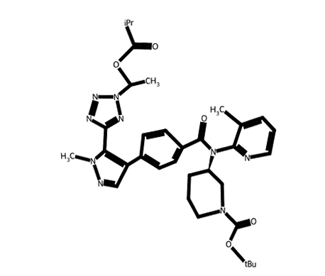 Cc1cccnc1N(C(=O)c1ccc(-c2cnn(C)c2-c2nnn(C(C)OC(=O)C(C)C)n2)cc1)[C@@H]1CCCN(C(=O)OC(C)(C)C)C1